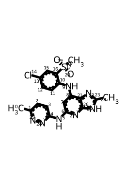 Cc1ccc(Nc2cc(Nc3ccc(Cl)cc3S(C)(=O)=O)c3nc(C)[nH]c3n2)nn1